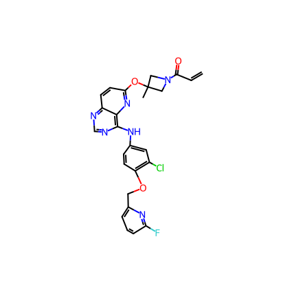 C=CC(=O)N1CC(C)(Oc2ccc3ncnc(Nc4ccc(OCc5cccc(F)n5)c(Cl)c4)c3n2)C1